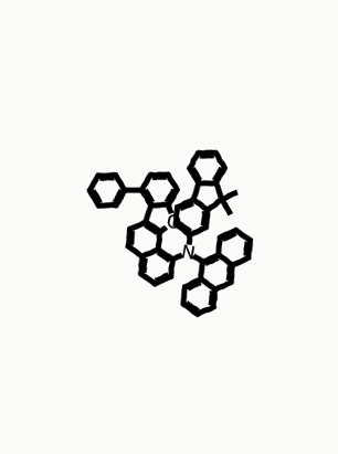 CC1(C)c2ccccc2-c2ccc(N(c3c4ccccc4cc4ccccc34)c3cccc4ccc5c(oc6cccc(-c7ccccc7)c65)c34)cc21